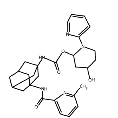 Cc1cccc(C(=O)NC23CC4CC(CC(NC(=O)OC5CC(O)CCN5c5ccccn5)(C4)C2)C3)n1